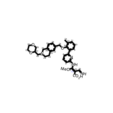 CO/C(Nc1cccc(-c2cccc(C)c2OCc2ccc3c(c2)CCN(CC2COCCO2)C3)n1)=C(/C=N)C(=O)O